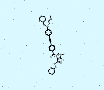 CNC(=O)[C@@](C)(C(=O)NOC1CCCCO1)N(C)C(=O)c1ccc(C#Cc2ccc([C@@H](CCOC)OC3CCCCO3)cc2)cc1